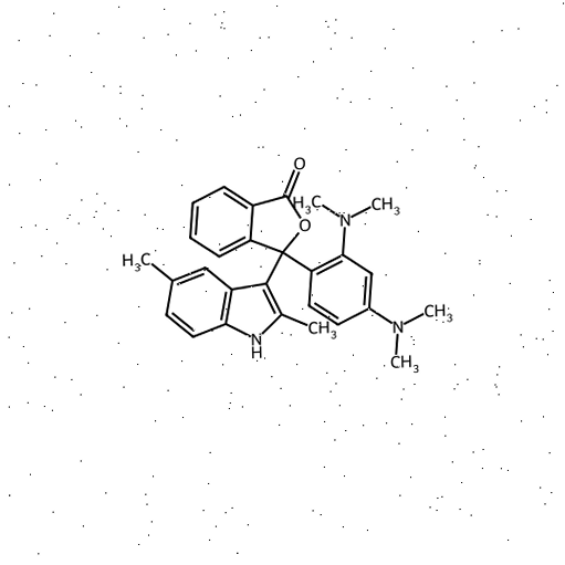 Cc1ccc2[nH]c(C)c(C3(c4ccc(N(C)C)cc4N(C)C)OC(=O)c4ccccc43)c2c1